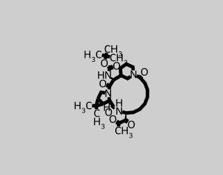 CC(=O)C(=O)[C@@H]1CCCCCCC(=O)N2CCCC(C2)[C@H](NC(=O)OC(C)(C)C)C(=O)N2CC3C([C@H]2C(=O)N1)C3(C)C